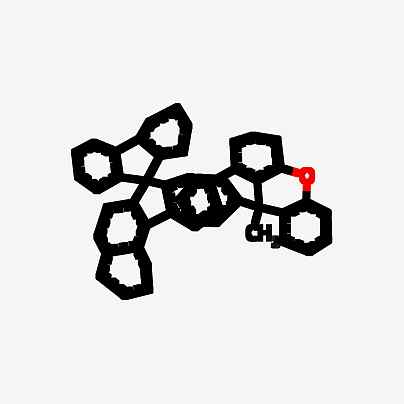 CC1(c2ccccc2)c2ccccc2Oc2cccc(-c3ccc4c(c3)C3(c5ccccc5-c5ccccc53)c3ccc5ccccc5c3-4)c21